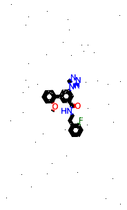 COc1ccccc1-c1cc(C(=O)NCCc2ccccc2F)cc(-n2cnnn2)c1